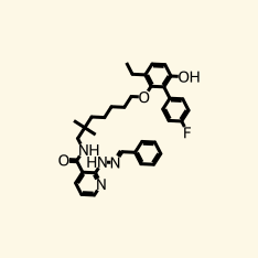 CCc1ccc(O)c(-c2ccc(F)cc2)c1OCCCCCC(C)(C)CNC(=O)c1cccnc1NN=Cc1ccccc1